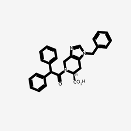 O=C(O)[C@@H]1Cc2c(ncn2Cc2ccccc2)CN1C(=O)C(c1ccccc1)c1ccccc1